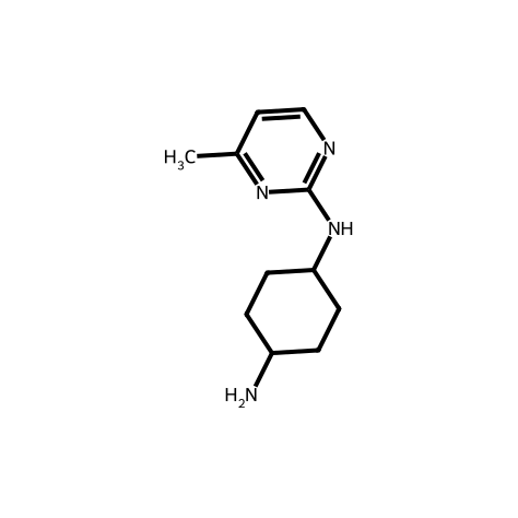 Cc1ccnc(NC2CCC(N)CC2)n1